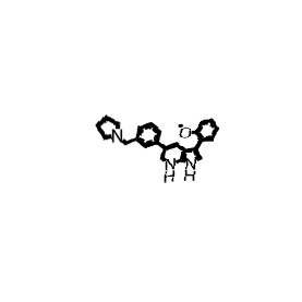 COc1ccccc1-c1c[nH]c2c1C=C(c1cccc(CN3CCCC3)c1)CN2